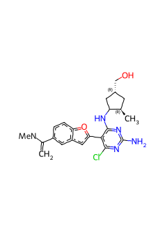 C=C(NC)c1ccc2oc(-c3c(Cl)nc(N)nc3NC3C[C@H](CO)C[C@H]3C)cc2c1